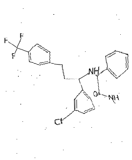 CNC(=O)C(N[C@@H](CCc1ccc(C(F)(F)F)cc1)c1cccc(Cl)c1)c1ccccc1